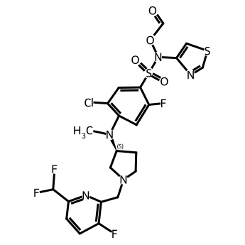 CN(c1cc(F)c(S(=O)(=O)N(OC=O)c2cscn2)cc1Cl)[C@H]1CCN(Cc2nc(C(F)F)ccc2F)C1